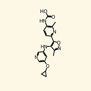 Cc1nc(-c2onc(C)c2Nc2cncc(OC3CC3)c2)ccc1NC(=O)O